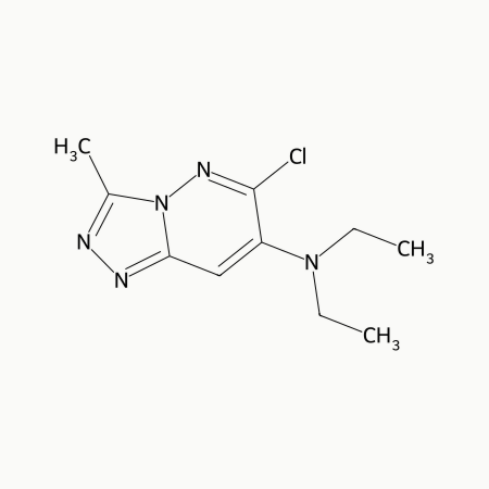 CCN(CC)c1cc2nnc(C)n2nc1Cl